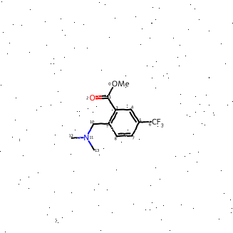 COC(=O)c1cc(C(F)(F)F)ccc1CN(C)C